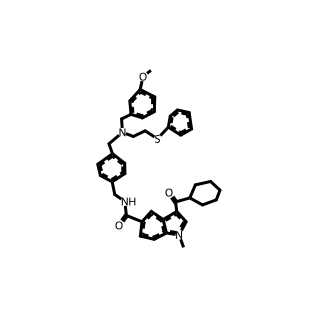 COc1cccc(CN(CCSc2ccccc2)Cc2ccc(CNC(=O)c3ccc4c(c3)c(C(=O)C3CCCCC3)cn4C)cc2)c1